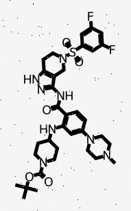 CN1CCN(c2ccc(C(=O)Nc3n[nH]c4c3CN(S(=O)(=O)c3cc(F)cc(F)c3)CC4)c(NC3CCN(C(=O)OC(C)(C)C)CC3)c2)CC1